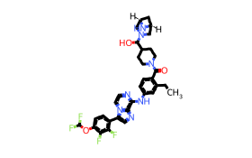 CCc1cc(Nc2nccn3c(-c4ccc(OC(F)F)c(F)c4F)cnc23)ccc1C(=O)N1CCC(C(O)N2C[C@H]3C[C@@H](C2)N3)CC1